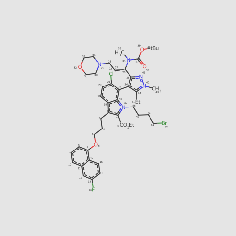 CCOC(=O)c1c(CCCOc2cccc3cc(F)ccc23)c2ccc(Cl)c(-c3c([C@@H](CCN4CCOCC4)N(C)C(=O)OC(C)(C)C)nn(C)c3CC)c2n1CCCCBr